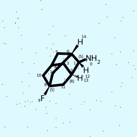 N[C@@H]1[C@@H]2CC3C[C@H]1C[C@@](F)(C3)C2